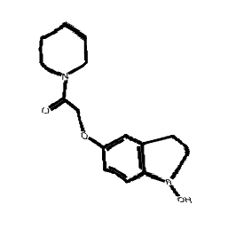 O=C(COc1ccc2c(c1)CCB2O)N1CCCCC1